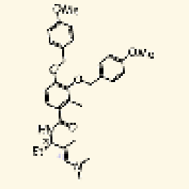 CC[C@@H](NC(=O)c1ccc(OCc2ccc(OC)cc2)c(OCc2ccc(OC)cc2)c1C)/C(C)=C/N(C)C